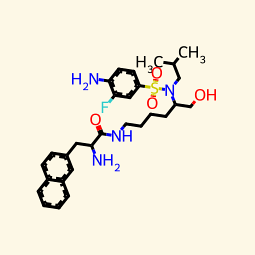 CC(C)CN(C(CO)CCCCNC(=O)C(N)Cc1ccc2ccccc2c1)S(=O)(=O)c1ccc(N)c(F)c1